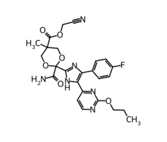 CCCOc1nccc(-c2[nH]c(C3(C(N)=O)OCC(C)(C(=O)OCC#N)CO3)nc2-c2ccc(F)cc2)n1